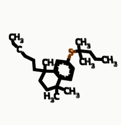 CCCCCCC1(C)CCC(C)(C)c2ccc(SC(C)(C)CCC)cc21